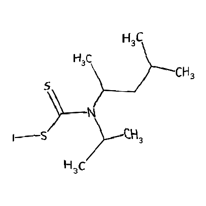 CC(C)CC(C)N(C(=S)SI)C(C)C